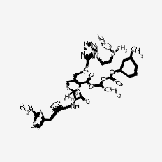 CC1CCCC(OC(=O)OC(C)OC(=O)C2=C(CSc3nnnn3CCN(C)C)CS[C@H]3[C@H](NC(=O)Cc4csc(N)n4)C(=O)N23)C1